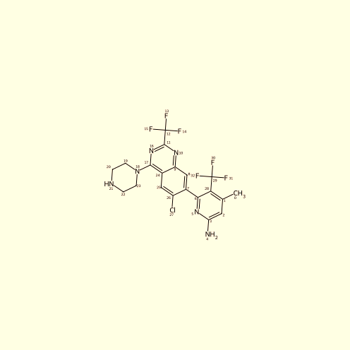 Cc1cc(N)nc(-c2cc3nc(C(F)(F)F)nc(N4CCNCC4)c3cc2Cl)c1C(F)(F)F